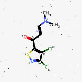 CN(C)/C=C/C(=O)c1snc(Cl)c1Cl